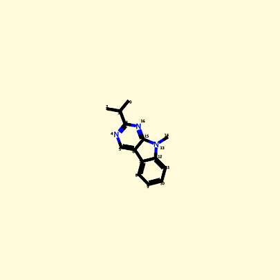 CC(C)c1ncc2c3ccccc3n(C)c2n1